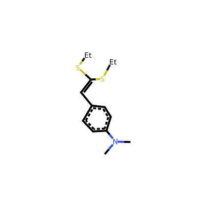 CCSC(=Cc1ccc(N(C)C)cc1)SCC